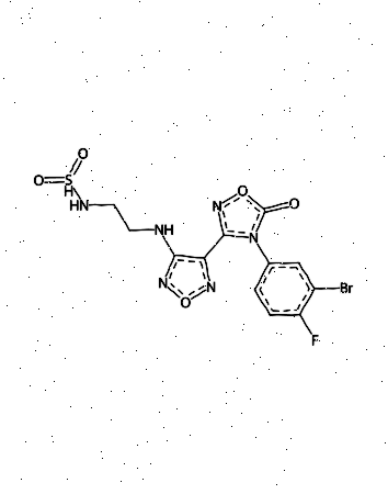 O=c1onc(-c2nonc2NCCN[SH](=O)=O)n1-c1ccc(F)c(Br)c1